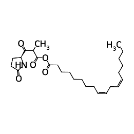 CCCCC/C=C\C/C=C\CCCCCCCC(=O)OC(=O)C(C)C(=O)[C@@H]1CCC(=O)N1